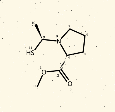 COC(=O)[C@H]1CCCN1[C@H](C)S